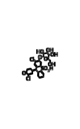 O=C1C=C/C(=C(\c2ccc(O[C@@H]3O[C@H](CO)[C@H](O)[C@H](O)[C@H]3O)c(Cl)c2)c2ccccc2S(=O)(=O)O)C=C1Cl